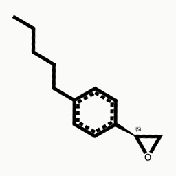 CCCCCc1ccc([C@H]2CO2)cc1